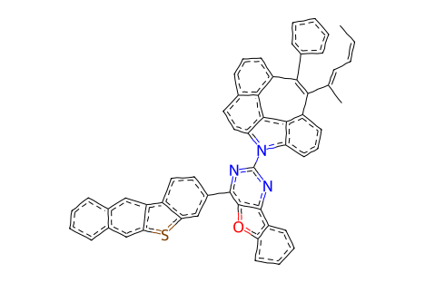 C/C=C\C=C(/C)C1=C(c2ccccc2)c2cccc3ccc4c(c23)c2c1cccc2n4-c1nc(-c2ccc3c(c2)sc2cc4ccccc4cc23)c2oc3ccccc3c2n1